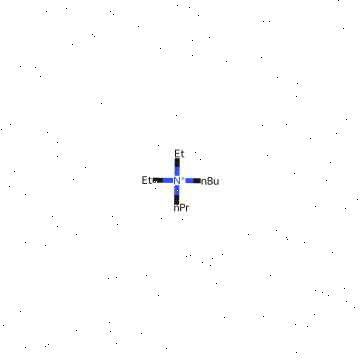 CCCC[N+](CC)(CC)CCC